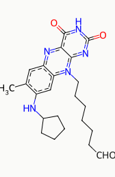 Cc1cc2nc3c(=O)[nH]c(=O)nc-3n(CCCCCCC=O)c2cc1NC1CCCC1